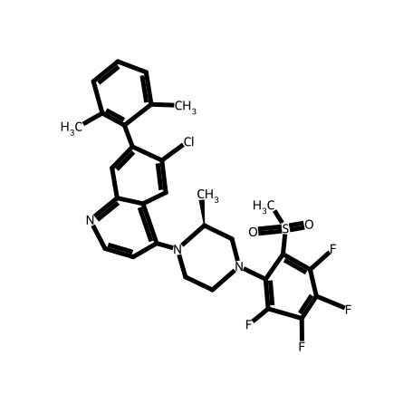 Cc1cccc(C)c1-c1cc2nccc(N3CCN(c4c(F)c(F)c(F)c(F)c4S(C)(=O)=O)C[C@@H]3C)c2cc1Cl